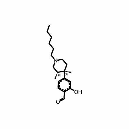 CCCCCCN1CC[C@](C)(c2ccc(C=O)c(O)c2)[C@@H](C)C1